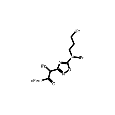 CCCCCC(=O)C(c1noc(N(CCCC(C)C)C(C)C)n1)C(C)C